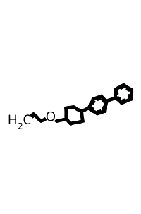 C=CCOCC1CCC(c2ccc(-c3ccccc3)cc2)CC1